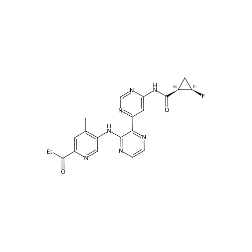 CCC(=O)c1cc(C)c(Nc2nccnc2-c2cc(NC(=O)[C@H]3C[C@H]3F)ncn2)cn1